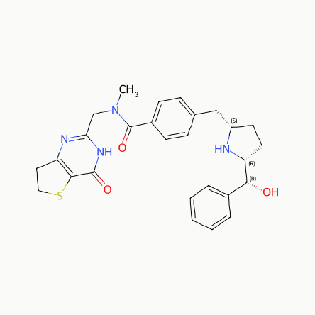 CN(Cc1nc2c(c(=O)[nH]1)SCC2)C(=O)c1ccc(C[C@@H]2CC[C@H]([C@H](O)c3ccccc3)N2)cc1